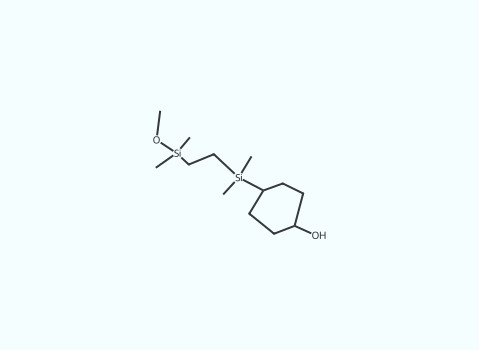 CO[Si](C)(C)CC[Si](C)(C)C1CCC(O)CC1